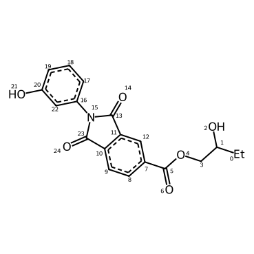 CCC(O)COC(=O)c1ccc2c(c1)C(=O)N(c1cccc(O)c1)C2=O